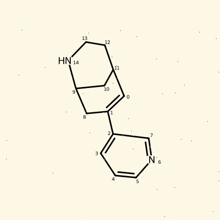 C1=C(c2cccnc2)CC2CC1CCN2